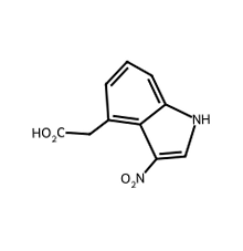 O=C(O)Cc1cccc2[nH]cc([N+](=O)[O-])c12